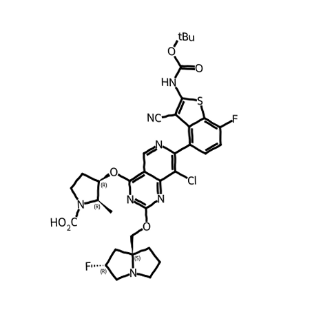 C[C@@H]1[C@H](Oc2nc(OC[C@@]34CCCN3C[C@H](F)C4)nc3c(Cl)c(-c4ccc(F)c5sc(NC(=O)OC(C)(C)C)c(C#N)c45)ncc23)CCN1C(=O)O